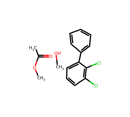 CO.COC(C)=O.Clc1cccc(-c2ccccc2)c1Cl